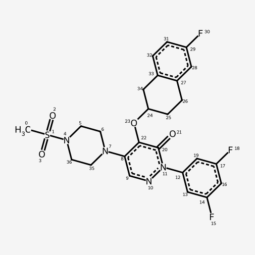 CS(=O)(=O)N1CCN(c2cnn(-c3cc(F)cc(F)c3)c(=O)c2OC2CCc3cc(F)ccc3C2)CC1